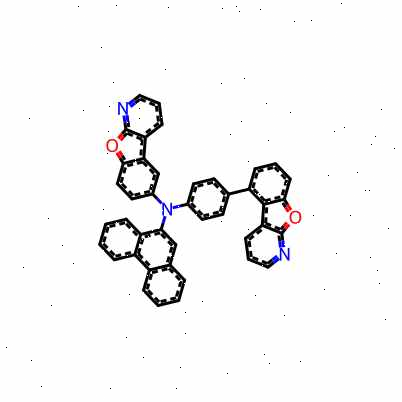 c1ccc2c(c1)cc(N(c1ccc(-c3cccc4oc5ncccc5c34)cc1)c1ccc3oc4ncccc4c3c1)c1ccccc12